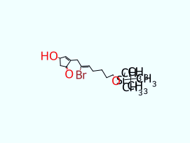 CC(C)(C)[Si](C)(C)OCCCCC=C(Br)CC1=CC(O)CC1=O